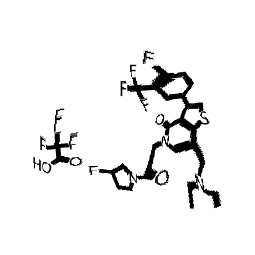 CCN(CC)Cc1cn(CC(=O)N2CCC(F)C2)c(=O)c2c(-c3ccc(F)c(C(F)(F)F)c3)csc12.O=C(O)C(F)(F)F